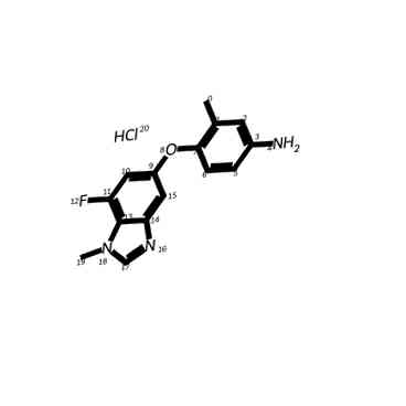 Cc1cc(N)ccc1Oc1cc(F)c2c(c1)ncn2C.Cl